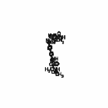 COC(=O)N[C@H](C)C(=O)N1CCC[C@H]1c1ncc(-c2ccc(-c3ccc(-c4cnc([C@@H]5CCCN5C(=O)[C@@H](C)N(C)C(=O)O)[nH]4)cc3)cc2)[nH]1